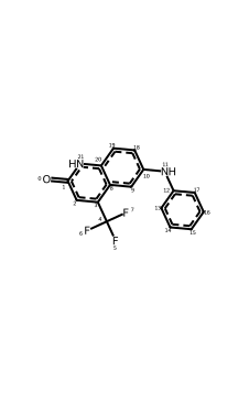 O=c1cc(C(F)(F)F)c2cc(Nc3ccccc3)ccc2[nH]1